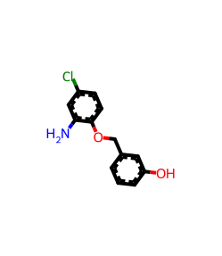 Nc1cc(Cl)ccc1OCc1cccc(O)c1